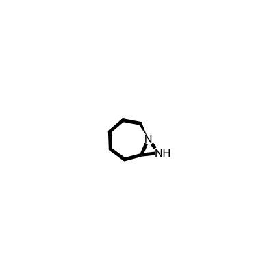 C1CCC2N[N@]2CC1